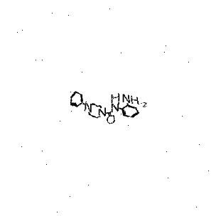 Nc1ccccc1NC(=O)N1CCN(c2ccccc2)CC1